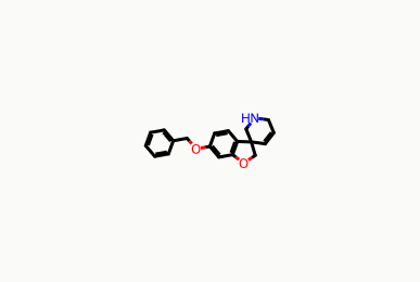 C1=CC2(CNC1)COc1cc(OCc3ccccc3)ccc12